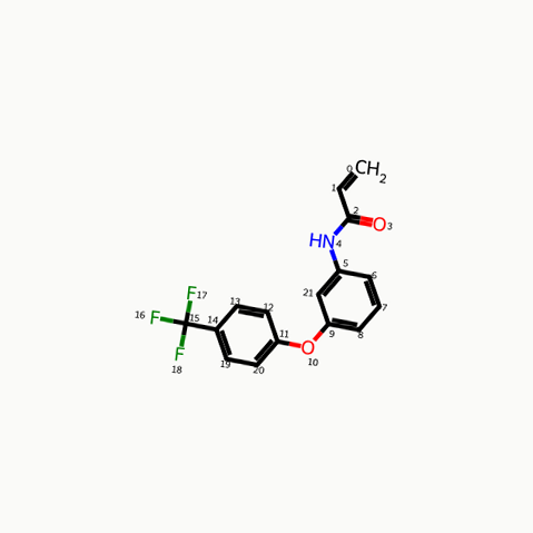 C=CC(=O)Nc1cccc(Oc2ccc(C(F)(F)F)cc2)c1